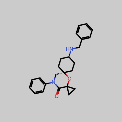 O=C1N(c2ccccc2)C[C@]2(CC[C@H](NCc3ccccc3)CC2)OC12CC2